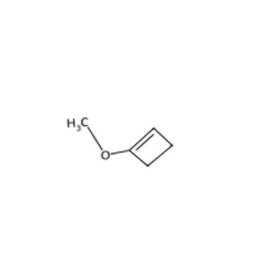 COC1=CCC1